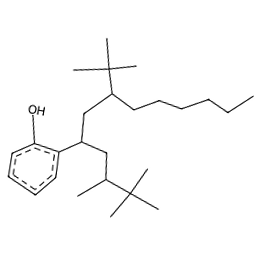 CCCCCCC(CC(CC(C)C(C)(C)C)c1ccccc1O)C(C)(C)C